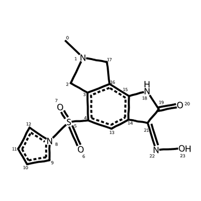 CN1Cc2c(S(=O)(=O)n3cccc3)cc3c(c2C1)NC(=O)C3=NO